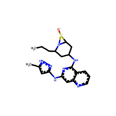 CCCC1CC(Nc2nc(Nc3cc(C)[nH]n3)cc3ncccc23)CC2N1[S+]2[O-]